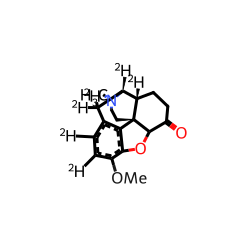 [2H]c1c([2H])c2c3c(c1OC)OC1C(=O)CC[C@]4([2H])[C@@]31CCN(C)[C@]4([2H])C2([2H])[2H]